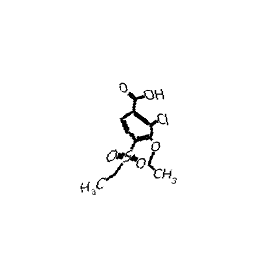 CCOc1c(S(=O)(=O)CC)ccc(C(=O)O)c1Cl